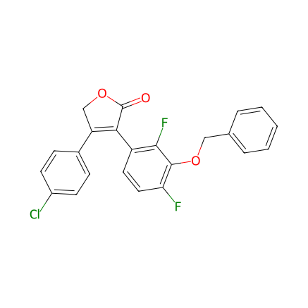 O=C1OCC(c2ccc(Cl)cc2)=C1c1ccc(F)c(OCc2ccccc2)c1F